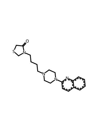 O=C1CSCN1CCCCN1CCN(c2ccc3ccccc3n2)CC1